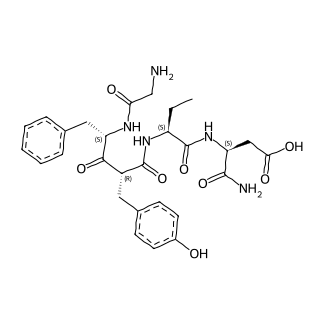 CC[C@H](NC(=O)[C@H](Cc1ccc(O)cc1)C(=O)[C@H](Cc1ccccc1)NC(=O)CN)C(=O)N[C@@H](CC(=O)O)C(N)=O